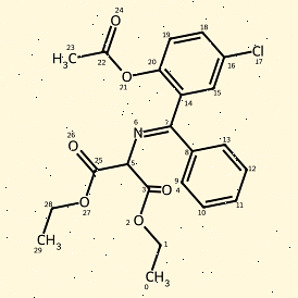 CCOC(=O)C(N=C(c1ccccc1)c1cc(Cl)ccc1OC(C)=O)C(=O)OCC